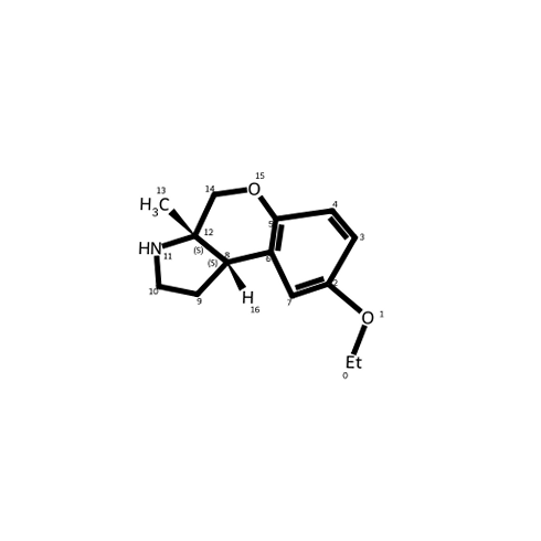 CCOc1ccc2c(c1)[C@@H]1CCN[C@]1(C)CO2